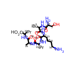 CCC(C)C(NC(=O)C(N)CO)C(=O)NC(CCCCN)C(=O)NC(C(=O)NC(C)C(=O)NC(C(=O)O)C(C)C)C(C)C